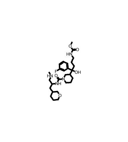 CNCC(CC1CCCOC1)NC(=O)N1CCCC(C(O)(CCCNC(=O)OC)c2cccc(F)c2)C1